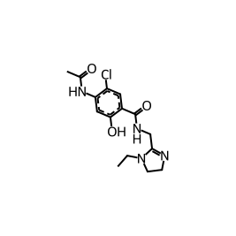 CCN1CCN=C1CNC(=O)c1cc(Cl)c(NC(C)=O)cc1O